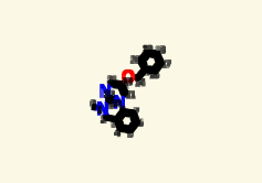 CN(Cc1ccccc1)c1ncc(OCc2ccccc2)cn1